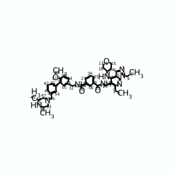 CCc1nc2c(cnn2CC)c(NC2CCOCC2)c1CNC(=O)c1cccc(C(=O)NCc2ccc(OC)c(-c3cccc(CN4C[C@@H](C)N[C@@H](C)C4)c3)c2)c1